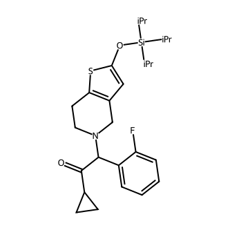 CC(C)[Si](Oc1cc2c(s1)CCN(C(C(=O)C1CC1)c1ccccc1F)C2)(C(C)C)C(C)C